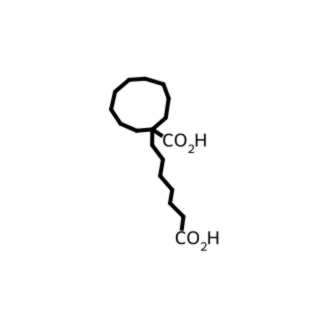 O=C(O)CCCCCCC1(C(=O)O)CCCCCCCCC1